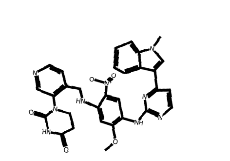 COc1cc(NCc2ccncc2N2CCC(=O)NC2=O)c([N+](=O)[O-])cc1Nc1nccc(-c2cn(C)c3ccccc23)n1